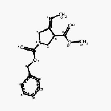 CN=C1CN(C(=O)OCc2ccccc2)CC1C(=O)OC